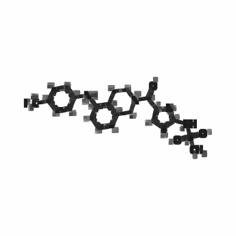 CS(=O)(=O)Nc1nc(C(=O)N2CCc3c(cccc3Nc3ccc(C(F)(F)F)cc3)C2)cs1